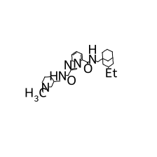 CCC1CC2CCCC(CNC(=O)c3cccc4nc(C(=O)NCC5CCCN(C)C5)cn34)(C1)C2